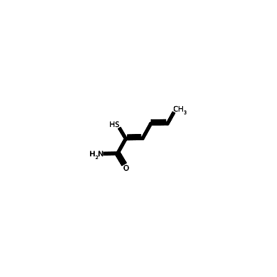 CC=C/C=C(\S)C(N)=O